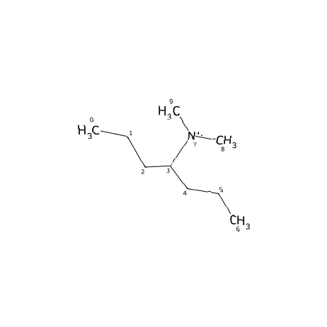 CCCC(CCC)[N+](C)C